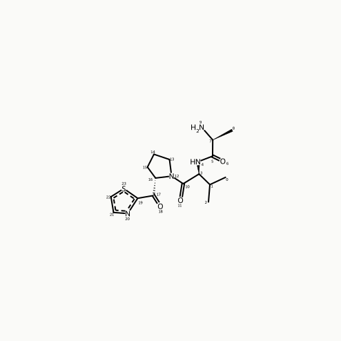 CC(C)[C@H](NC(=O)[C@H](C)N)C(=O)N1CCC[C@H]1C(=O)c1nccs1